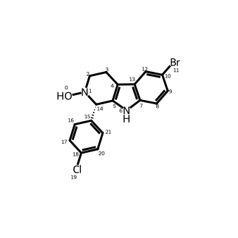 ON1CCc2c([nH]c3ccc(Br)cc23)[C@@H]1c1ccc(Cl)cc1